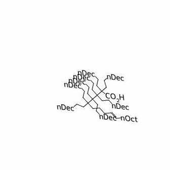 CCCCCCCCC=CCCCC(CCCCCCCCCCCC)(CCCCCCCCCCCC)C(CCCCCCCCCCCC)(CCCCCCCCCCCC)C(CCCCCCCCCCCC)(CCCCCCCCCCCC)C(CCCCCCCCCCCC)(CCCCCCCCCCCC)C(=O)O